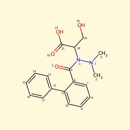 CN(C)N(C(=O)c1ccccc1-c1ccccc1)C(CO)C(=O)O